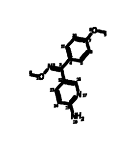 CO/N=C(/c1ccc(OC)cc1)c1ccc(N)nc1